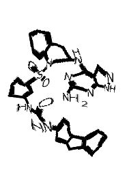 Nc1nc(NC2Cc3ccccc3N(S(=O)(=O)c3cccc(NC(=O)Nc4ccc5c(c4)Cc4ccccc4-5)c3)C2)c2cn[nH]c2n1